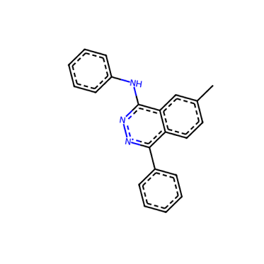 Cc1ccc2c(-c3ccccc3)nnc(Nc3ccccc3)c2c1